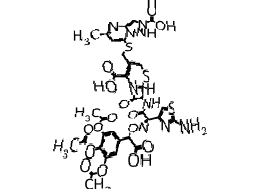 CC(=O)Oc1cc([C@H](O/N=C(\C(=O)N[C@@H]2C(=O)N3C(C(=O)O)=C(CSC4=CC(C)=NC5=CN(C(=O)O)NN54)CS[C@H]23)c2csc(N)n2)C(=O)O)cc(OC(C)=O)c1OC(C)=O